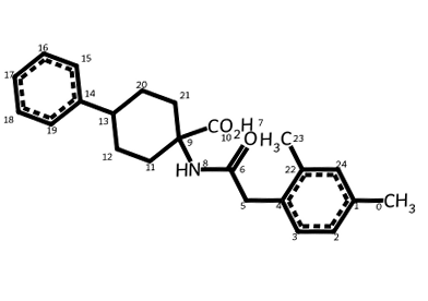 Cc1ccc(CC(=O)NC2(C(=O)O)CCC(c3ccccc3)CC2)c(C)c1